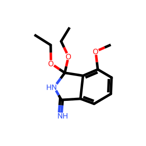 CCOC1(OCC)NC(=N)c2cccc(OC)c21